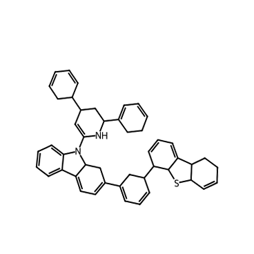 C1=CCCC(C2CC(C3C=CC=CC3)C=C(N3c4ccccc4C4=CC=C(C5=CC=CC(C6C=CC=C7C8CCC=CC8SC76)C5)CC43)N2)=C1